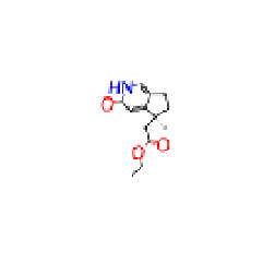 CCOC(=O)C[C@]1(C)CCc2c[nH]c(=O)cc21